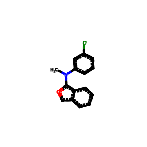 CN(c1cccc(Cl)c1)c1occ2ccccc12